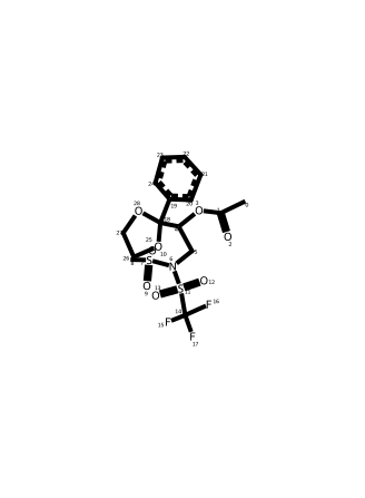 CC(=O)OC(CN(S(C)(=O)=O)S(=O)(=O)C(F)(F)F)C1(c2ccccc2)OCCO1